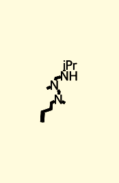 C=CCCN(C)CN(C)CNC(C)C